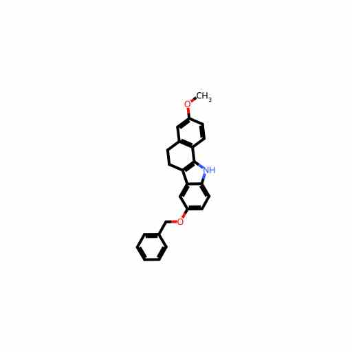 COc1ccc2c(c1)CCc1c-2[nH]c2ccc(OCc3ccccc3)cc12